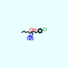 CCCCCC(O)(CCc1ccc(Cl)cc1)Cn1cncn1